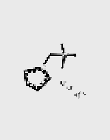 C[Si](C)(C)C[c-]1cccc1.[Cl-].[Cl-].[Hf+3]